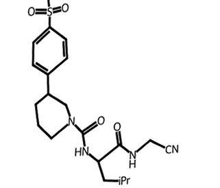 CC(C)CC(NC(=O)N1CCCC(c2ccc(S(C)(=O)=O)cc2)C1)C(=O)NCC#N